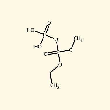 CCOP(=O)(OC)OP(=O)(O)O